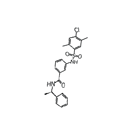 Cc1cc(S(=O)(=O)Nc2cccc(C(=O)N[C@H](C)c3ccccc3)c2)c(C)cc1Cl